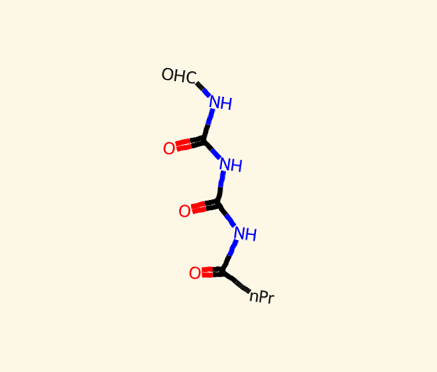 CCCC(=O)NC(=O)NC(=O)NC=O